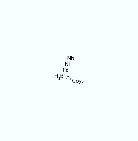 B.[Co].[Cr].[Fe].[Nb].[Ni].[Zr]